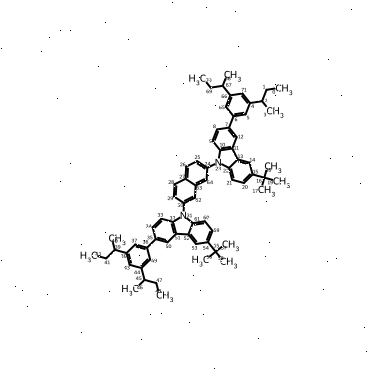 CCC(C)c1cc(-c2ccc3c(c2)c2cc(C(C)(C)C)ccc2n3-c2ccc3ccc(-n4c5ccc(-c6cc(C(C)CC)cc(C(C)CC)c6)cc5c5cc(C(C)(C)C)ccc54)cc3c2)cc(C(C)CC)c1